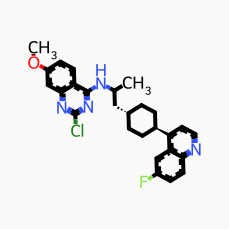 COc1ccc2c(NC(C)C[C@H]3CC[C@H](c4ccnc5ccc(F)cc54)CC3)nc(Cl)nc2c1